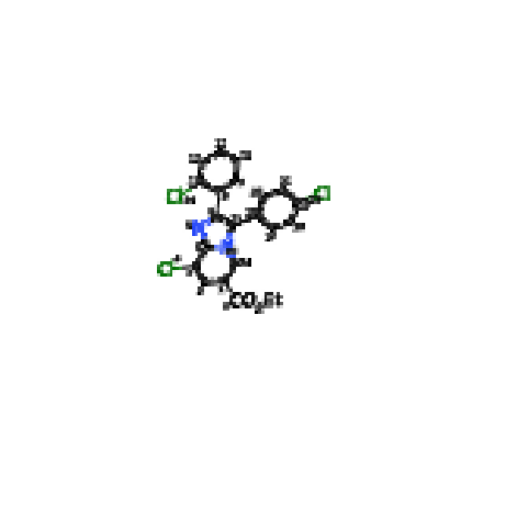 CCOC(=O)c1cc(Cl)c2nc(-c3ccccc3Cl)c(-c3ccc(Cl)cc3)n2c1